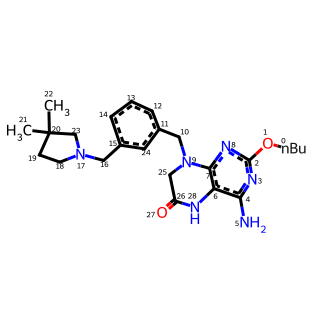 CCCCOc1nc(N)c2c(n1)N(Cc1cccc(CN3CCC(C)(C)C3)c1)CC(=O)N2